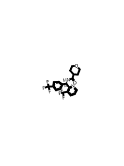 O=C(N[C@@H](c1ccc(C(F)(F)F)cc1)c1ncccc1C(F)(F)F)C1CCOCC1